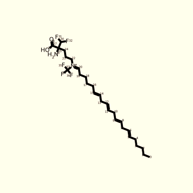 CCCCCC=CCC=CCC=CCC=CCCCCC=[N+](CCCC(N)(C(=O)O)C(F)F)C(F)(F)F